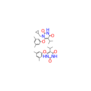 Cc1cc(C)cc(Oc2[nH]c(=O)[nH]c(=O)c2C(C)C)c1.Cc1cc(C)cc(Oc2c(C(C)C)c(=O)[nH]c(=O)n2CC2CC2)c1